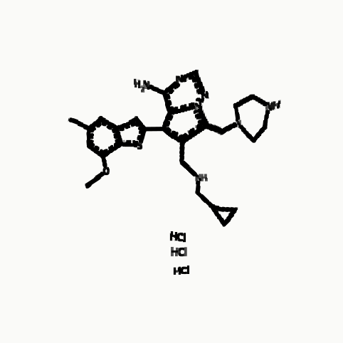 COc1cc(C)cc2cc(-c3c(CNCC4CC4)c(CN4CCNCC4)n4ncnc(N)c34)sc12.Cl.Cl.Cl